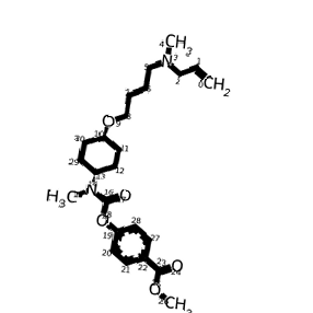 C=CCN(C)CCCCO[C@H]1CC[C@H](N(C)C(=O)Oc2ccc(C(=O)OC)cc2)CC1